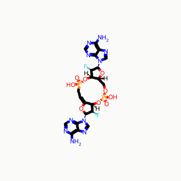 Nc1ncnc2c1ncn2[C@@H]1O[C@@H]2COP(=O)(O)O[C@@H]3/C(=C\CP(=O)(O)O[C@H]2[C@H]1F)O[C@@H](n1cnc2c(N)ncnc21)[C@@H]3F